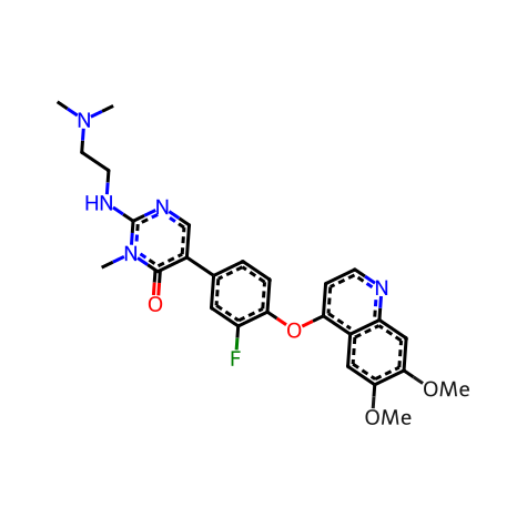 COc1cc2nccc(Oc3ccc(-c4cnc(NCCN(C)C)n(C)c4=O)cc3F)c2cc1OC